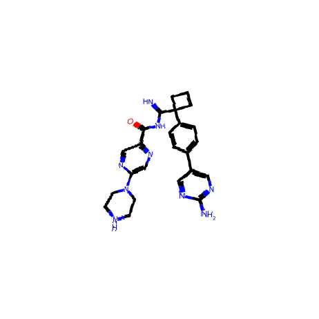 N=C(NC(=O)c1cnc(N2CCNCC2)cn1)C1(c2ccc(-c3cnc(N)nc3)cc2)CCC1